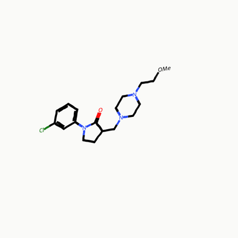 COCCN1CCN(CC2CCN(c3cccc(Cl)c3)C2=O)CC1